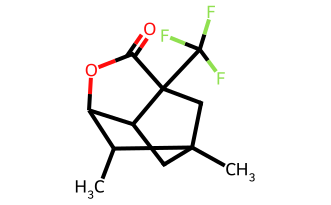 CC1C2OC(=O)C3(C(F)(F)F)CC1(C)CC23